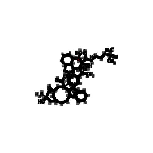 CC[C@]12C=CCN3CC[C@@]4(c5cc([C@@]6(C(=O)OC)C[C@@H]7CN(CCc8c6[nH]c6ccccc86)C[C@@](C)(O)C7)c(OC)cc5N(C)[C@H]4[C@@](O)(C(=O)NCCC[SH](C)(C)=O)[C@@H]1O)C32